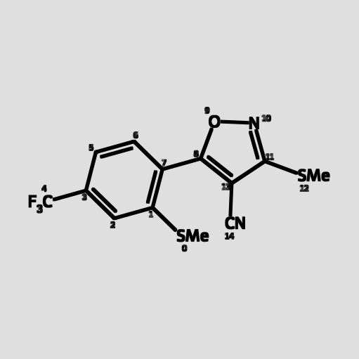 CSc1cc(C(F)(F)F)ccc1-c1onc(SC)c1C#N